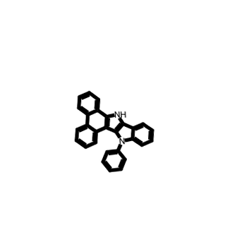 c1ccc(-n2c3ccccc3c3[nH]c4c5ccccc5c5ccccc5c4c32)cc1